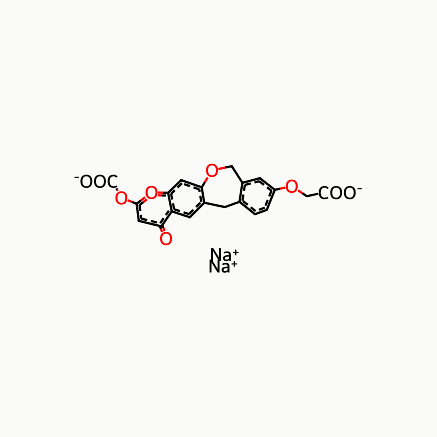 O=C([O-])COc1ccc2c(c1)COc1cc3oc(OC(=O)[O-])cc(=O)c3cc1C2.[Na+].[Na+]